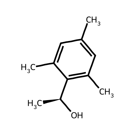 Cc1cc(C)c([C@H](C)O)c(C)c1